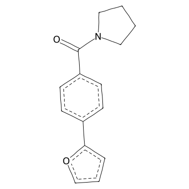 O=C(c1ccc(-c2ccco2)cc1)N1CCCC1